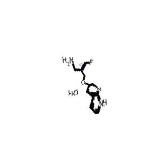 Cl.NC/C(=C/F)COc1cnc2[nH]ccc2c1